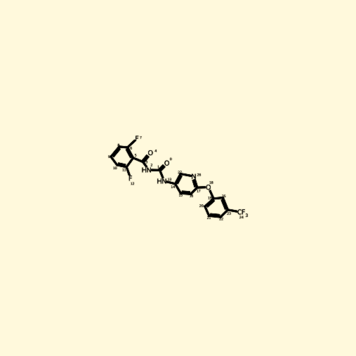 O=C(NC(=O)c1c(F)cccc1F)Nc1ccc(Oc2cccc(C(F)(F)F)c2)nc1